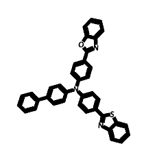 c1ccc(-c2ccc(N(c3ccc(-c4nc5ccccc5o4)cc3)c3ccc(-c4nc5ccccc5s4)cc3)cc2)cc1